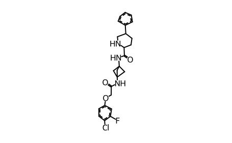 O=C(COc1ccc(Cl)c(F)c1)NC12CC(NC(=O)C3CCC(c4ccccc4)CN3)(C1)C2